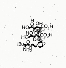 CCC(C)C(N)C(=O)NCCN1CCOCC1.O=C(O)[C@H](O)[C@@H](O)[C@H](O)[C@H](O)CO.O=C(O)[C@H](O)[C@@H](O)[C@H](O)[C@H](O)CO